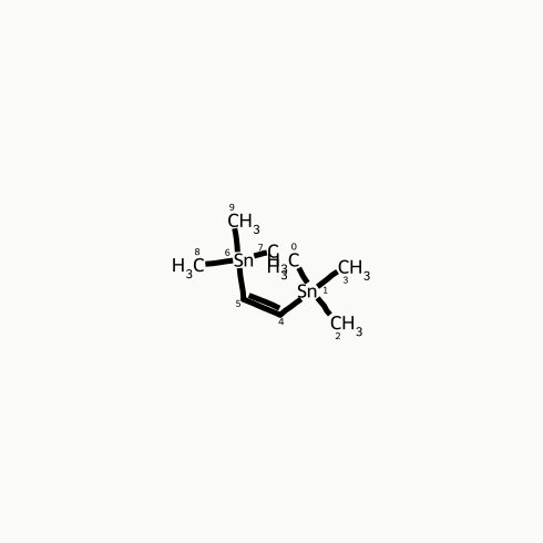 [CH3][Sn]([CH3])([CH3])/[CH]=[CH]\[Sn]([CH3])([CH3])[CH3]